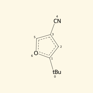 CC(C)(C)c1cc(C#N)co1